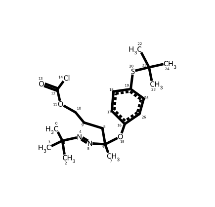 CC(C)(C)N=NC(C)(CCCOC(=O)Cl)Oc1ccc(SC(C)(C)C)cc1